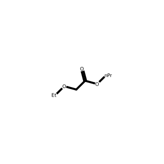 [CH2]CCOC(=O)COCC